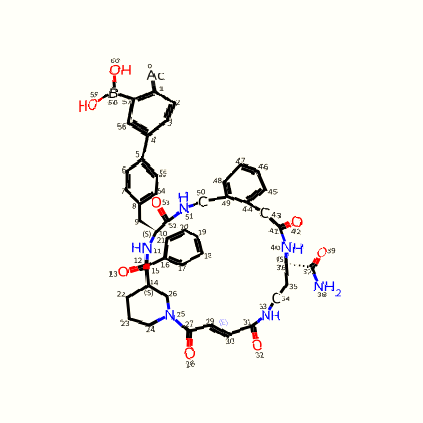 CC(=O)c1ccc(-c2ccc(C[C@@H]3NC(=O)[C@]4(Cc5ccccc5)CCCN(C4)C(=O)/C=C/C(=O)NCC[C@@H](C(N)=O)NC(=O)Cc4ccccc4CNC3=O)cc2)cc1B(O)O